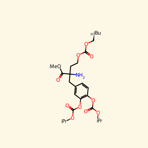 CC[C@H](C)COC(=O)OCCC(N)(Cc1ccc(OC(=O)OC(C)C)c(OC(=O)OC(C)C)c1)C(=O)OC